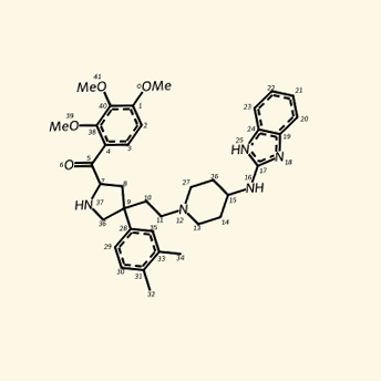 COc1ccc(C(=O)C2CC(CCN3CCC(Nc4nc5ccccc5[nH]4)CC3)(c3ccc(C)c(C)c3)CN2)c(OC)c1OC